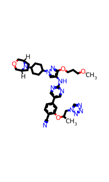 COCCCOc1nn(C2CCC(N3[C@@H]4CC[C@H]3COC4)CC2)cc1Nc1ncc(-c2ccc(C#N)c(OC(C)Cn3cnnn3)c2)cn1